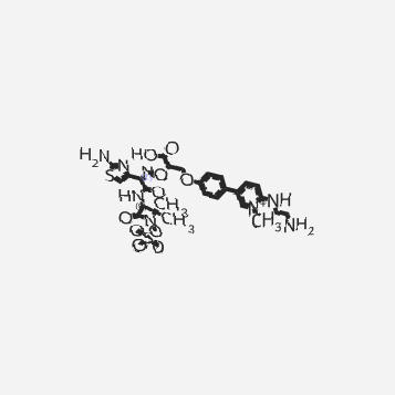 C[n+]1cc(-c2ccc(OCC(O/N=C(\C(=O)N[C@@H]3C(=O)N(OS(=O)(=O)[O-])C3(C)C)c3csc(N)n3)C(=O)O)cc2)ccc1NCCN